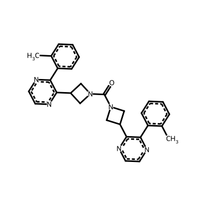 Cc1ccccc1-c1nccnc1C1CN(C(=O)N2CC(c3nccnc3-c3ccccc3C)C2)C1